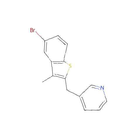 Cc1c(Cc2cccnc2)sc2ccc(Br)cc12